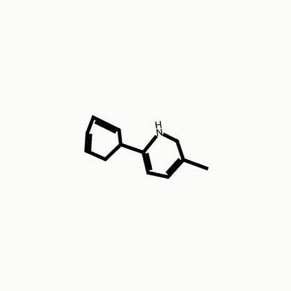 CC1=CC=C(C2C=CC=CC2)NC1